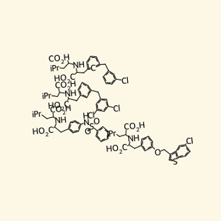 CC(C)CC(NC(Cc1ccc(NS(=O)(=O)c2ccccc2)cc1)C(=O)O)C(=O)O.CC(C)CC(NC(Cc1cccc(Cc2cc(Cl)cc(Cl)c2)c1)C(=O)O)C(=O)O.CC(C)CC(NC(Cc1cccc(Cc2cccc(Cl)c2)c1)C(=O)O)C(=O)O.CC(C)CC(NC(Cc1cccc(OCc2csc3ccc(Cl)cc23)c1)C(=O)O)C(=O)O